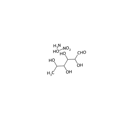 CC(O)C(O)C(O)C(O)C=O.N.O=[N+]([O-])O